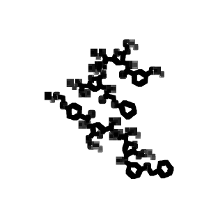 CCOc1ccc(C(=O)Nc2cc(C(=N)N)sc2SC)cc1.CSc1sc(C(=N)N)cc1NC(=O)COc1ccccc1.CSc1sc(C(=N)N)cc1NC(=O)c1cccc(C)c1.CSc1sc(C(=N)N)cc1Nc1cccc(OCc2ccccc2)c1